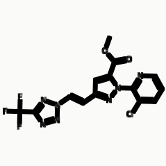 COC(=O)c1cc(/C=C/n2nnc(C(F)(F)F)n2)nn1-c1ncccc1Cl